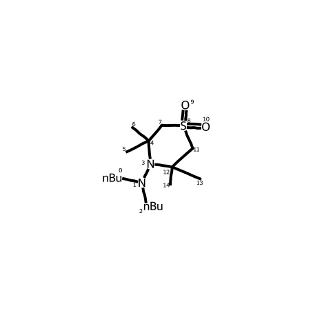 CCCCN(CCCC)N1C(C)(C)CS(=O)(=O)CC1(C)C